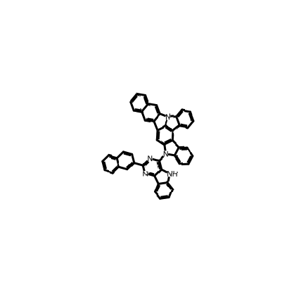 c1ccc2cc(-c3nc(-n4c5ccccc5c5c6c7ccccc7n7c8cc9ccccc9cc8c(cc54)c67)c4[nH]c5ccccc5c4n3)ccc2c1